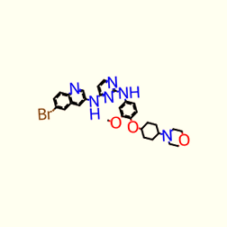 COc1cc(Nc2nccc(Nc3cnc4ccc(Br)cc4c3)n2)ccc1OC1CCC(N2CCOCC2)CC1